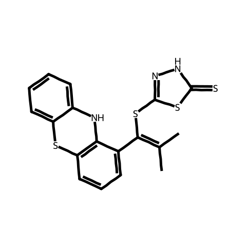 CC(C)=C(Sc1n[nH]c(=S)s1)c1cccc2c1Nc1ccccc1S2